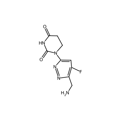 NCc1nnc(N2CCC(=O)NC2=O)cc1F